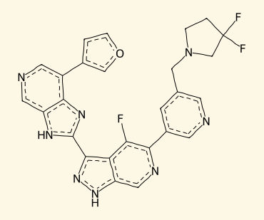 Fc1c(-c2cncc(CN3CCC(F)(F)C3)c2)ncc2[nH]nc(-c3nc4c(-c5ccoc5)cncc4[nH]3)c12